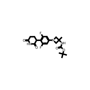 CC1(NC(=O)OC(C)(C)C)CN(c2cc(F)c(C3CCC(=O)NC3=O)c(F)c2)C1